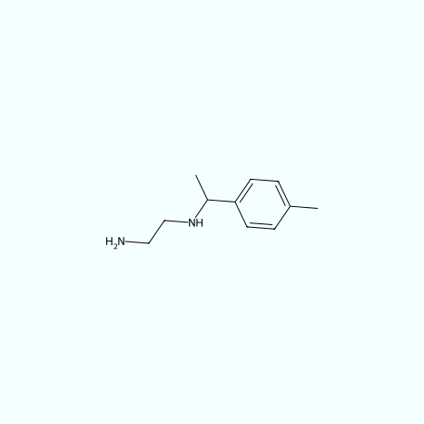 Cc1ccc(C(C)NCCN)cc1